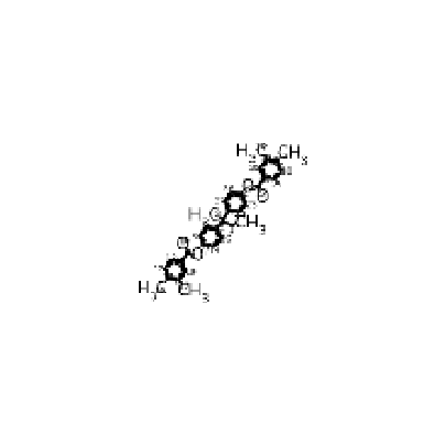 CCC(C)(c1ccc(OC(=O)c2ccc(C)c(C)c2)cc1)c1ccc(OC(=O)c2ccc(C)c(C)c2)cc1